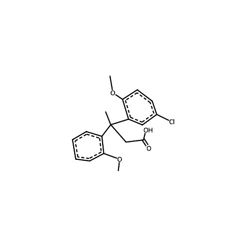 COc1ccccc1C(C)(CC(=O)O)c1cc(Cl)ccc1OC